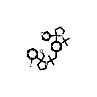 CC(C)(C)N1CCCC1(c1ccc(CC(C)(C)N2CCCC2(CO)c2ccccc2Cl)cc1)c1ccoc1